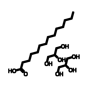 CCCCCCCCCCCCCC(=O)O.OCC(O)CO.OCC(O)CO